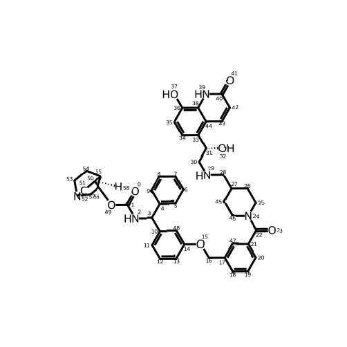 O=C(NC(c1ccccc1)c1cccc(OCc2cccc(C(=O)N3CCC(CNC[C@@H](O)c4ccc(O)c5[nH]c(=O)ccc45)CC3)c2)c1)O[C@H]1CN2CCC1CC2